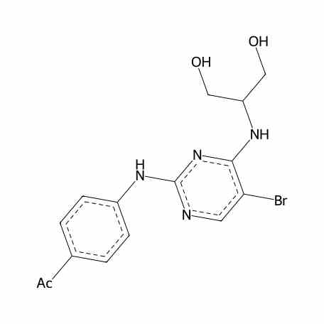 CC(=O)c1ccc(Nc2ncc(Br)c(NC(CO)CO)n2)cc1